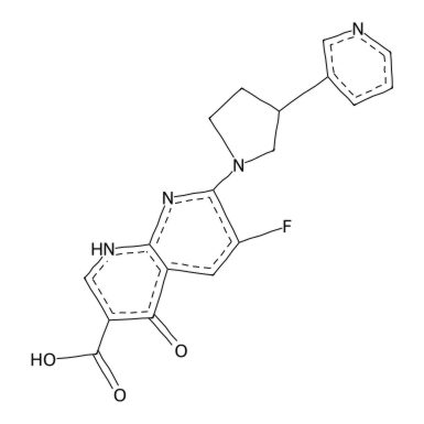 O=C(O)c1c[nH]c2nc(N3CCC(c4cccnc4)C3)c(F)cc2c1=O